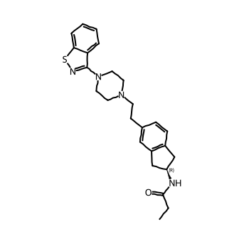 CCC(=O)N[C@@H]1Cc2ccc(CCN3CCN(c4nsc5ccccc45)CC3)cc2C1